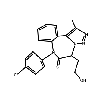 Cc1nnn2c1-c1ccccc1N(c1ccc(Cl)cc1)C(=O)C2CCO